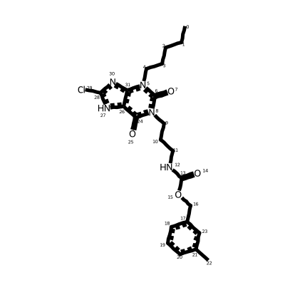 CCCCCn1c(=O)n(CCCNC(=O)OCc2cccc(C)c2)c(=O)c2[nH]c(Cl)nc21